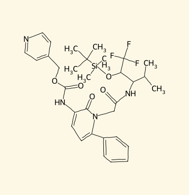 CC(C)C(NC(=O)Cn1c(-c2ccccc2)ccc(NC(=O)OCc2ccncc2)c1=O)C(O[Si](C)(C)C(C)(C)C)C(F)(F)F